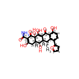 C[C@H]1c2c(-c3ccco3)ccc(O)c2C(=O)C2=C(O)[C@]3(O)C(=O)C(C(N)=O)=C(O)C[C@@H]3[C@@H](O)[C@@H]21